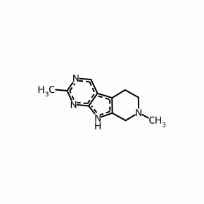 Cc1ncc2c3c([nH]c2n1)CN(C)CC3